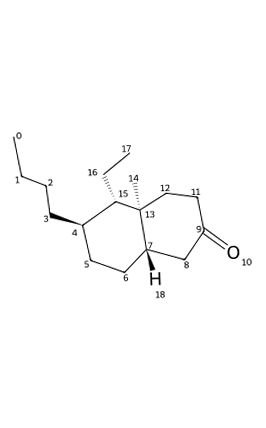 CCCC[C@@H]1CC[C@H]2CC(=O)CC[C@]2(C)[C@H]1CC